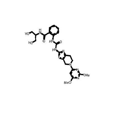 COc1cc(N2CCc3nc(NC(=O)Nc4ccccc4C(=O)NC(CO)CO)sc3C2)nc(OC)n1